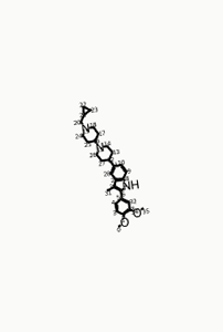 COc1ccc(-c2[nH]c3ccc(C4CCN(C5CCN(CC6CC6)CC5)CC4)cc3c2C)cc1OC